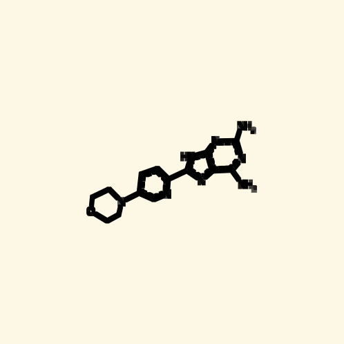 Nc1nc(N)c2nc(-c3ccc(N4CCOCC4)cn3)[nH]c2n1